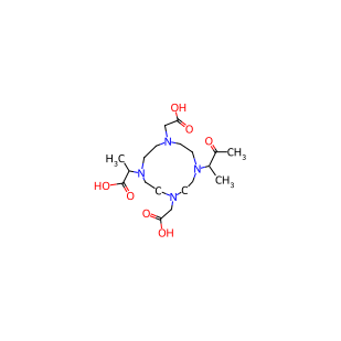 CC(=O)C(C)N1CCN(CC(=O)O)CCN(C(C)C(=O)O)CCN(CC(=O)O)CC1